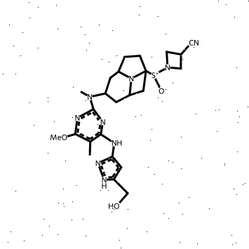 COc1nc(N(C)C2CC3CCC4([S+]([O-])N5CC(C#N)C5)CC(C2)N34)nc(Nc2cc(CO)[nH]n2)c1C